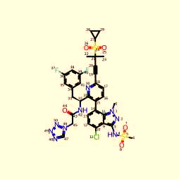 Cn1nc(NS(C)(=O)=O)c2c(Cl)ccc(-c3ccc(C#CC(C)(C)S(=O)(=O)C4CC4)nc3[C@H](Cc3cc(F)cc(F)c3)NC(=O)Cn3cnnn3)c21